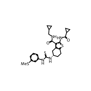 CSc1cccc(NC(=S)N[C@H]2CCc3sc(NC(=O)C4CC4)c(C(=O)NCC4CC4)c3C2)c1